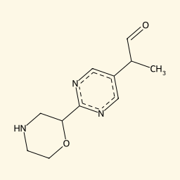 CC(C=O)c1cnc(C2CNCCO2)nc1